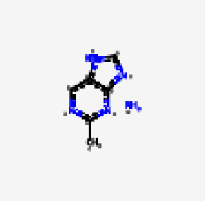 Cc1ncc2[nH]cnc2n1.N